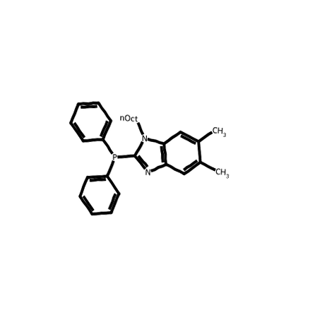 CCCCCCCCn1c(P(c2ccccc2)c2ccccc2)nc2cc(C)c(C)cc21